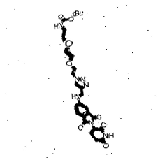 CC(C)(C)OC(=O)NCCOCCOCCn1cc(CNc2ccc3c(c2)C(=O)N(C2CCC(=O)NC2=O)C3=O)nn1